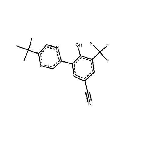 CC(C)(C)c1cnc(-c2cc(C#N)cc(C(F)(F)F)c2O)cn1